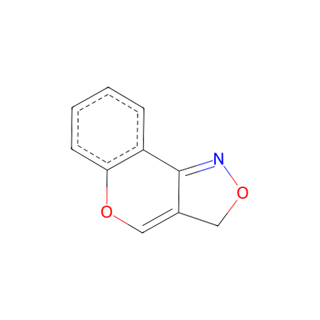 C1=C2CON=C2c2ccccc2O1